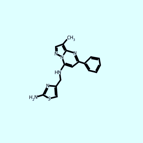 Cc1cnn2c(NCc3csc(N)n3)cc(-c3ccccc3)nc12